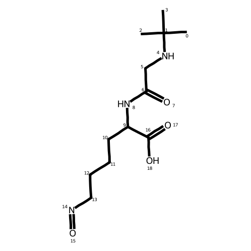 CC(C)(C)NCC(=O)NC(CCCCN=O)C(=O)O